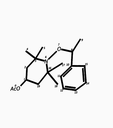 CC(=O)OC1CC(C)(C)N(OC(C)c2ccccc2)C(C)(C)C1